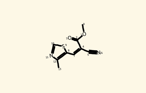 COC(=O)C(C#N)=Cc1scnc1C